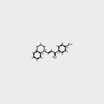 O=C(C=CN1CCCc2ccccc21)c1ccc(F)cc1